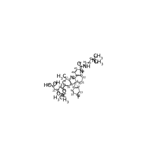 CC(C)c1nc2c(c(-c3ccc(F)cc3)c1/C=C/[C@@H]1C[C@H](CC(=O)O)OC(C)(C)O1)CCCc1nc(C(=O)NCCCN(C)C)ccc1-2